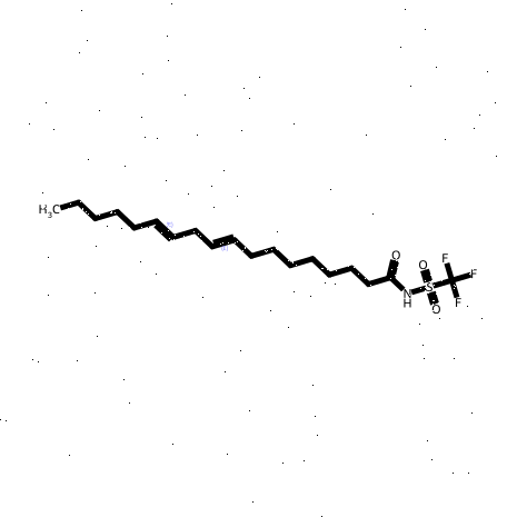 CCCCC/C=C/C/C=C/CCCCCCCC(=O)NS(=O)(=O)C(F)(F)F